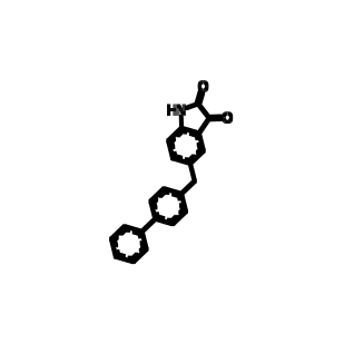 O=C1Nc2ccc(Cc3ccc(-c4ccccc4)cc3)cc2C1=O